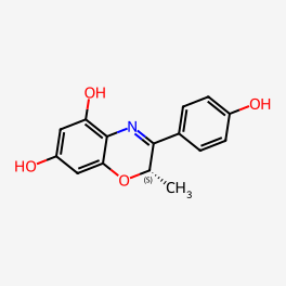 C[C@@H]1Oc2cc(O)cc(O)c2N=C1c1ccc(O)cc1